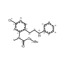 CN(C(=O)OC(C)(C)C)c1nc(Cl)ncc1CCNc1ccccc1